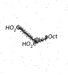 CCCCCCCC/C=C\CCCCCCC(C(=O)O)C(O)CCCCCCCCCCCCCCCCC(=O)O